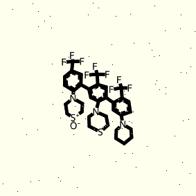 [O-][S+]1CCN(c2ccc(C(F)(F)F)cc2-c2cc(N3CCSCC3)c(-c3cc(N4CCCCC4)[c]cc3C(F)(F)F)cc2C(F)(F)F)CC1